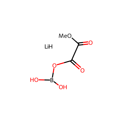 COC(=O)C(=O)OB(O)O.[LiH]